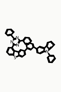 c1ccc(-c2nc(-c3ccccc3)nc(-c3cccc4sc5ccc(-c6cccc(-c7ccc8c(c7)c7ccccc7n8-c7ccccc7)c6)cc5c34)n2)cc1